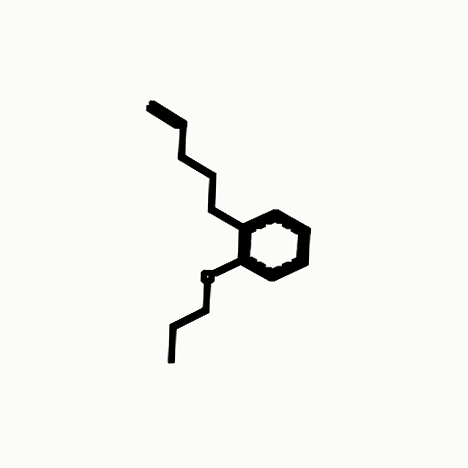 C=CCCCc1ccccc1OCCC